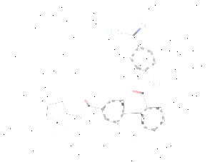 CC1(C)CCCC1NC(=O)c1ccc(-c2ccccc2C(=O)Nc2ccc(C(=N)N)cc2)c(C(=O)O)c1